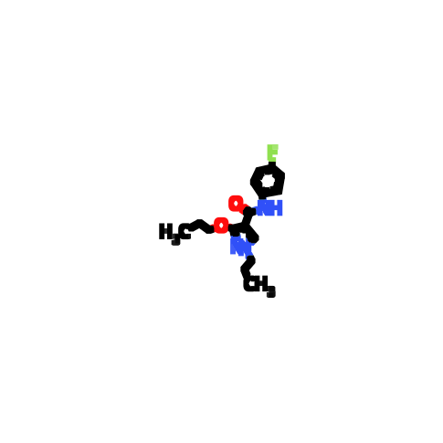 CCCOc1nn(CCC)cc1C(=O)Nc1ccc(F)cc1